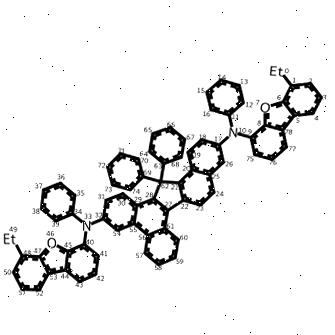 CCc1cccc2c1oc1c(N(c3ccccc3)c3ccc4c5c(ccc4c3)-c3c(c4ccc(N(c6ccccc6)c6cccc7c6oc6c(CC)cccc67)cc4c4ccccc34)C5(c3ccccc3)c3ccccc3)cccc12